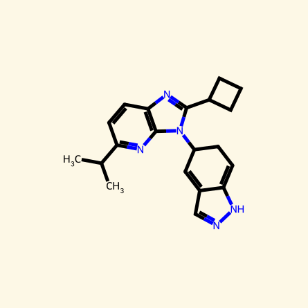 CC(C)c1ccc2nc(C3CCC3)n(C3C=c4cn[nH]c4=CC3)c2n1